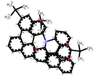 CC(C)(C)c1ccc(-c2ccccc2N(c2ccccc2-c2cccc3ccccc23)c2ccccc2-c2cccc3cccc(-c4cc(C(C)(C)C)cc(C(C)(C)C)c4)c23)cc1